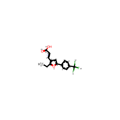 CCc1oc(-c2ccc(C(F)(F)F)cc2)cc1/C=C/C(=O)O